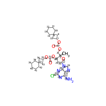 C[C@]1(COC(=O)OC2CC3(CCCCC3)C2)O[C@@H](n2cnc3c(N)nc(Cl)nc32)C[C@@H]1OC(=O)OC1CC2(CCCCC2)C1